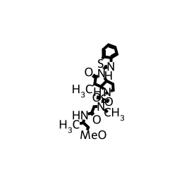 COCC(C)NC(=O)CN(C)S(=O)(=O)N1CC[C@H]2[C@H]1[C@H](C)C(=O)N2c1nc2ccccc2s1